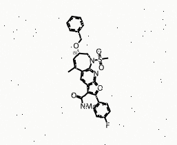 CNC(=O)c1c(-c2ccc(F)cc2)oc2nc3c(cc12)C(C)=C[C@H](OCc1ccccc1)CN3S(C)(=O)=O